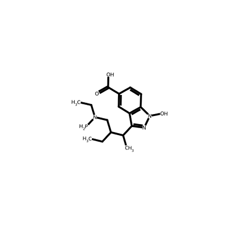 CCC(CN(P)CC)C(C)c1nn(O)c2ccc(C(=O)O)cc12